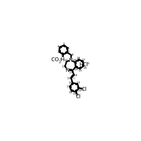 Cl.O=C(O)c1ccccc1CN1CCN=C(/C=C/c2ccc(Cl)c(Cl)c2)c2ccccc21